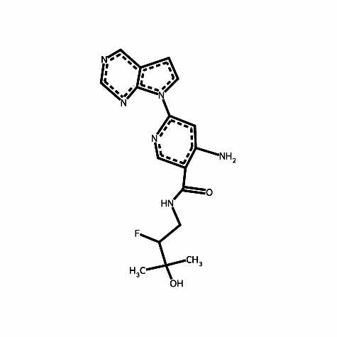 CC(C)(O)C(F)CNC(=O)c1cnc(-n2ccc3cncnc32)cc1N